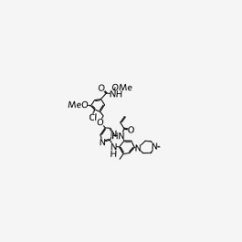 C=CC(=O)Nc1cc(N2CCN(C)CC2)cc(C)c1Nc1ncc(OCc2cc(C(=O)NOC)cc(OC)c2Cl)cn1